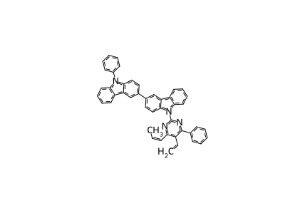 C=Cc1c(/C=C\C)nc(-n2c3ccccc3c3cc(-c4ccc5c(c4)c4ccccc4n5-c4ccccc4)ccc32)nc1-c1ccccc1